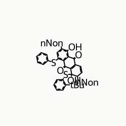 CCCCCCCCCc1cc(Sc2ccccc2)c2c(c1O)C(=O)C1=C(C2=O)C(O)(Sc2ccccc2C(C)(C)C)C(CCCCCCCCC)C=C1